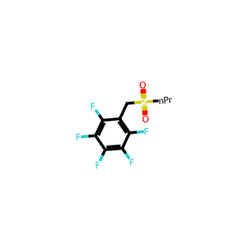 CCCS(=O)(=O)Cc1c(F)c(F)c(F)c(F)c1F